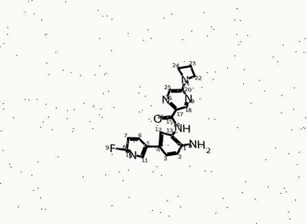 Nc1ccc(-c2ccc(F)nc2)cc1NC(=O)c1cnc(N2CCC2)cn1